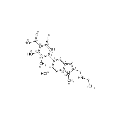 CCNCc1cc2cc(-c3[nH]c(=O)c(C(=O)O)c(O)c3C)ccc2n1C.Cl